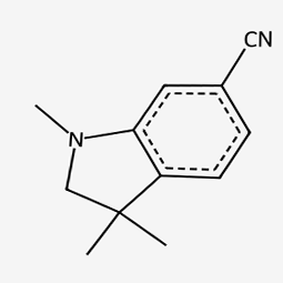 CN1CC(C)(C)c2ccc(C#N)cc21